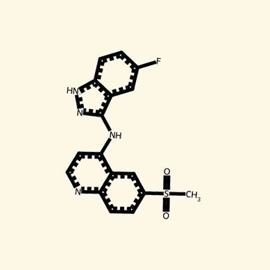 CS(=O)(=O)c1ccc2nccc(Nc3n[nH]c4ccc(F)cc34)c2c1